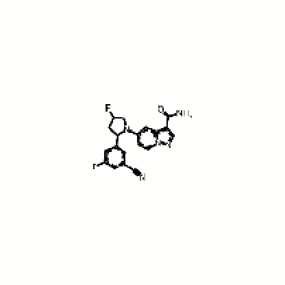 N#Cc1cc(F)cc(C2CC(F)CN2c2ccn3ncc(C(N)=O)c3c2)c1